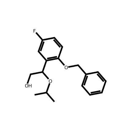 CC(C)OC(CO)c1cc(F)ccc1OCc1ccccc1